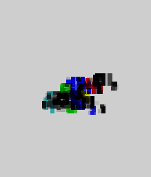 CSc1c(C(=N)NOC(C)=O)nn(-c2c(Cl)cc(C(F)(F)F)cc2Cl)c1N